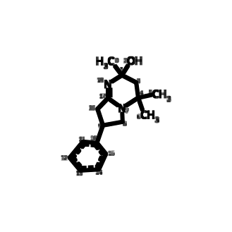 CC1(O)CC(C)(C)N2CC(c3ccccc3)CC2=N1